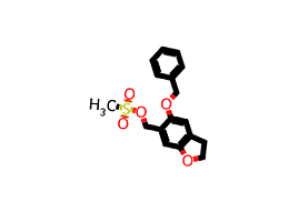 CS(=O)(=O)OCc1cc2c(cc1OCc1ccccc1)CCO2